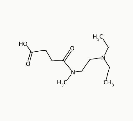 CCN(CC)CCN(C)C(=O)CCC(=O)O